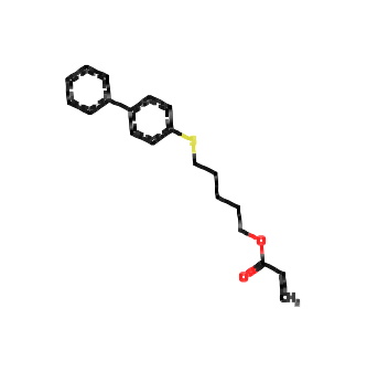 C=CC(=O)OCCCCCSc1ccc(-c2ccccc2)cc1